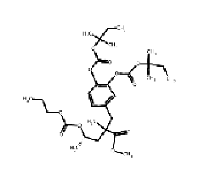 CCCOC(=O)O[C@@H](C)CC(N)(Cc1ccc(OC(=O)OC(C)(C)CC)c(OC(=O)OC(C)(C)CC)c1)C(=O)OC